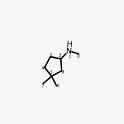 CNC1CCC(C)(C)C1